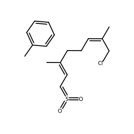 CC(=CCCC(C)=CC=S(=O)=O)CCl.Cc1ccccc1